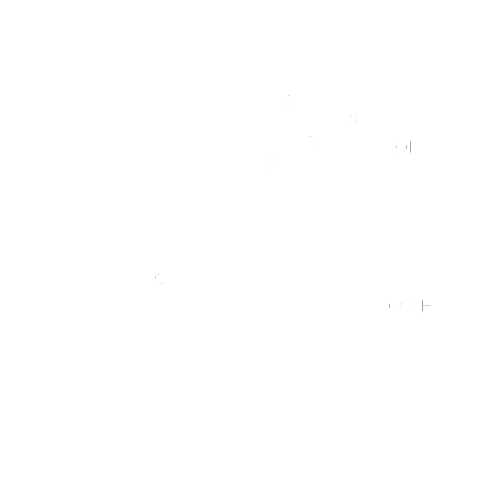 O=C(O)c1ccc(S(=O)(=O)[O-])c(O)c1.c1ccc([S+](c2ccccc2)c2ccccc2)cc1